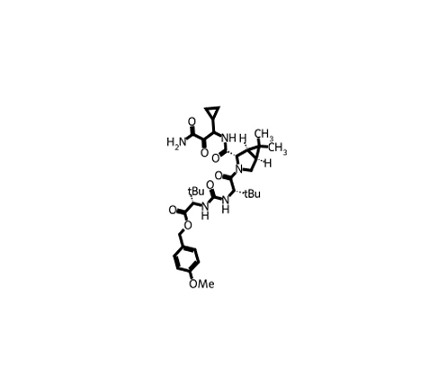 COc1ccc(COC(=O)[C@@H](NC(=O)N[C@H](C(=O)N2C[C@H]3[C@@H]([C@H]2C(=O)NC(C(=O)C(N)=O)C2CC2)C3(C)C)C(C)(C)C)C(C)(C)C)cc1